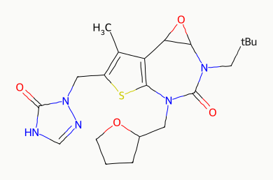 Cc1c(Cn2nc[nH]c2=O)sc2c1C1OC1N(CC(C)(C)C)C(=O)N2CC1CCCO1